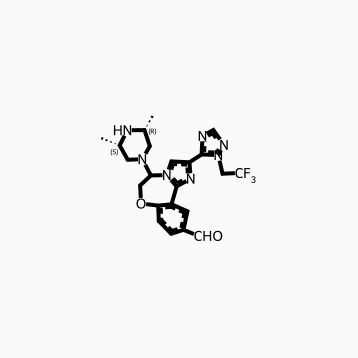 C[C@@H]1CN(C2COc3ccc(C=O)cc3-c3nc(-c4ncnn4CC(F)(F)F)cn32)C[C@H](C)N1